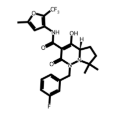 Cc1cc(NC(=O)C2=C(O)[C@@H]3CCC(C)(C)N3N(Cc3cccc(F)c3)C2=O)c(C(F)(F)F)o1